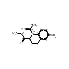 COC(=O)C1CCc2cc(Br)ccc2N1C(C)=O